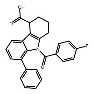 O=C(O)C1CCCc2c1c1cccc(-c3ccccc3)c1n2C(=O)c1ccc(F)cc1